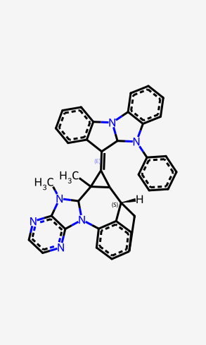 CN1c2nccnc2N2c3ccc4cc3[C@@H](C4)C3/C(=C4/c5ccccc5N5c6ccccc6N(c6ccccc6)C45)C3(C)C12